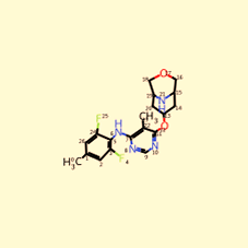 Cc1cc(F)c(Nc2ncnc(OC3CC4COCC(C3)N4)c2C)c(F)c1